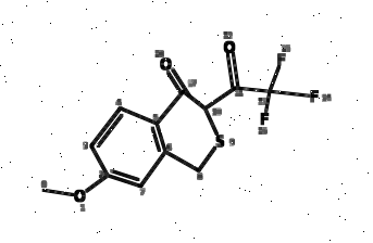 COc1ccc2c(c1)CSC(C(=O)C(F)(F)F)C2=O